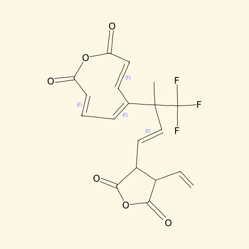 C=CC1C(=O)OC(=O)C1/C=C/C(C)(C1=C/C=C/C(=O)OC(=O)\C=C\1)C(F)(F)F